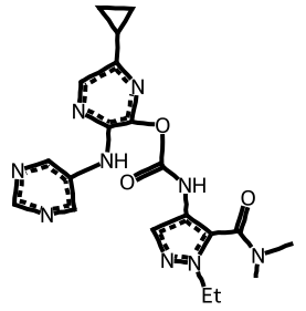 CCn1ncc(NC(=O)Oc2nc(C3CC3)cnc2Nc2cncnc2)c1C(=O)N(C)C